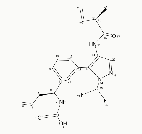 C=CC[C@H](NC(=O)O)c1cccc(-c2c(NC(=O)[C@H](C)C=C)cnn2C(F)F)c1